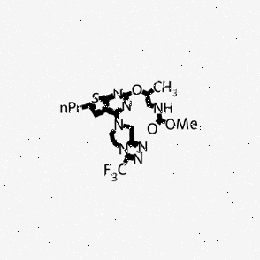 CCCc1cc2c(N3CCn4c(nnc4C(F)(F)F)C3)nc(OC(C)CNC(=O)OC)nc2s1